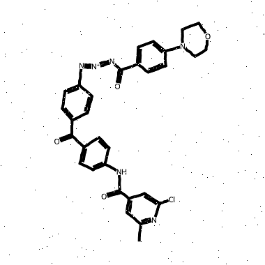 Cc1cc(C(=O)Nc2ccc(C(=O)c3ccc(N=[N+]=NC(=O)c4ccc(N5CCOCC5)cc4)cc3)cc2)cc(Cl)n1